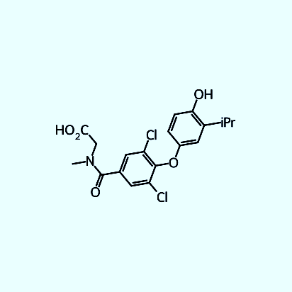 CC(C)c1cc(Oc2c(Cl)cc(C(=O)N(C)CC(=O)O)cc2Cl)ccc1O